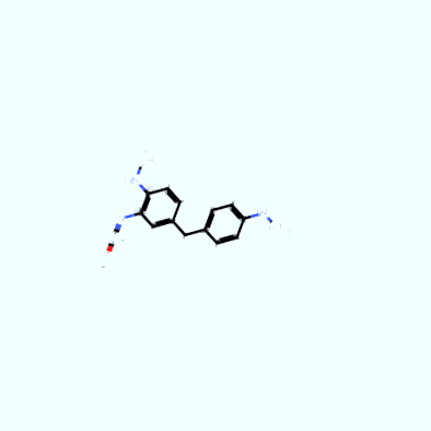 CNc1ccc(Cc2ccc(NC)c(N=C=O)c2)cc1